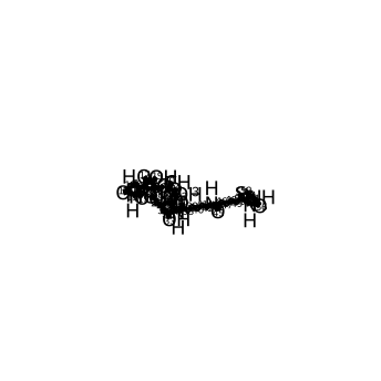 CP(=O)(OCC1OC(n2ccc(=O)[nH]c2=O)C(O)C1O)OP(=O)(O)OC1OC(COO)C=C(O)C1NC(=O)CCCCCNC(=O)CCCCC1SCC2NC(=O)NC21